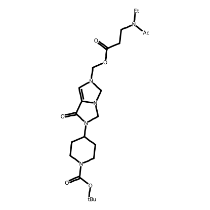 CCN(CCC(=O)OCN1C=C2C(=O)N(C3CCN(C(=O)OC(C)(C)C)CC3)CN2C1)C(C)=O